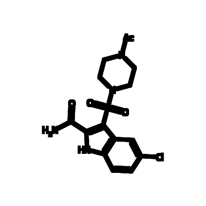 CC(=O)N1CCN(S(=O)(=O)c2c(C(N)=O)[nH]c3ccc(Cl)cc23)CC1